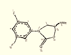 CN[C@@H]1CN(c2cc(F)cc(F)c2)C(=O)O1